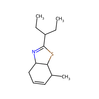 CCC(CC)C1=NC2CC=CC(C)C2S1